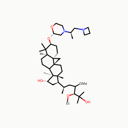 CCO[C@@H](C(C[C@@H](C)[C@H]1C[C@H](O)[C@@]2(C)C3CC[C@H]4C(C)(C)[C@@H](O[C@H]5CN([C@H](C)CN6CCC6)CCO5)CC[C@@]45C[C@@]35CC[C@]12C)OC)C(C)(C)O